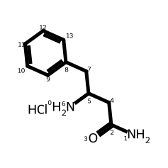 Cl.NC(=O)CC(N)Cc1ccccc1